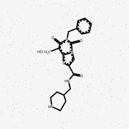 Cc1c(=O)n(Cc2ccccc2)c(=O)n2cc(C(=O)NCC3CCNCC3)sc12.Cl